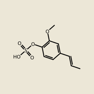 CC=Cc1ccc(OS(=O)(=O)O)c(OC)c1